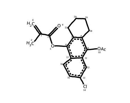 C=C(C)C(=O)Oc1c2c(c(OC(C)=O)c3cc(Cl)ccc13)CCCC2